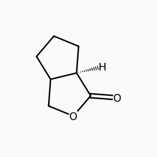 O=C1OCC2CCC[C@@H]12